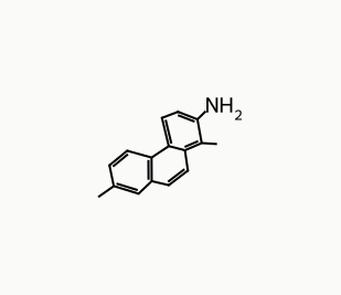 Cc1ccc2c(ccc3c(C)c(N)ccc32)c1